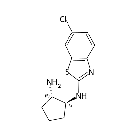 N[C@H]1CCC[C@@H]1Nc1nc2ccc(Cl)cc2s1